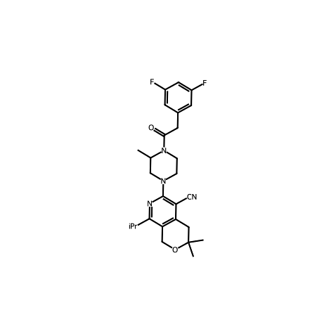 CC(C)c1nc(N2CCN(C(=O)Cc3cc(F)cc(F)c3)C(C)C2)c(C#N)c2c1COC(C)(C)C2